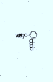 Cc1ccccc1.[Cl-].[Cl-].[Cl-].[Cl-].[Cl-].[Cl-].[W+6]